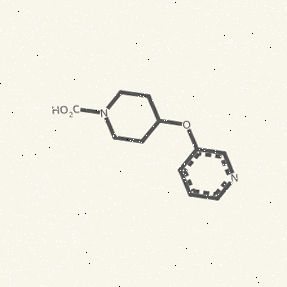 O=C(O)N1CCC(Oc2cccnc2)CC1